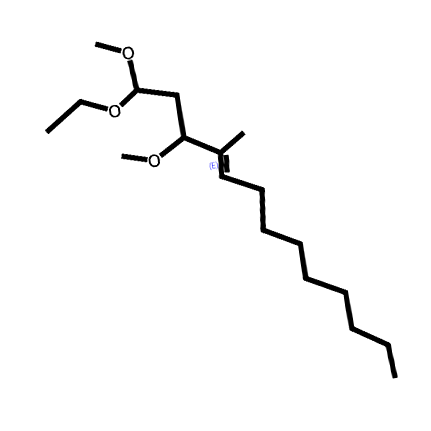 CCCCCCCC/C=C(\C)C(CC(OC)OCC)OC